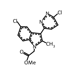 COC(=O)Cn1c(C)c(-c2ccc(Cl)nn2)c2cc(Cl)ccc21